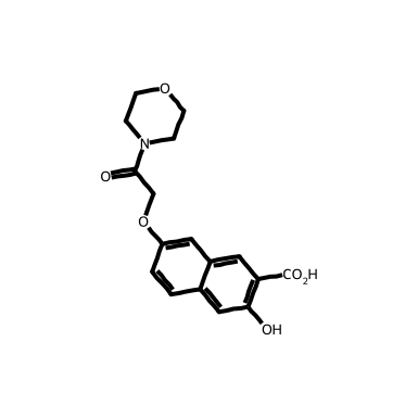 O=C(O)c1cc2cc(OCC(=O)N3CCOCC3)ccc2cc1O